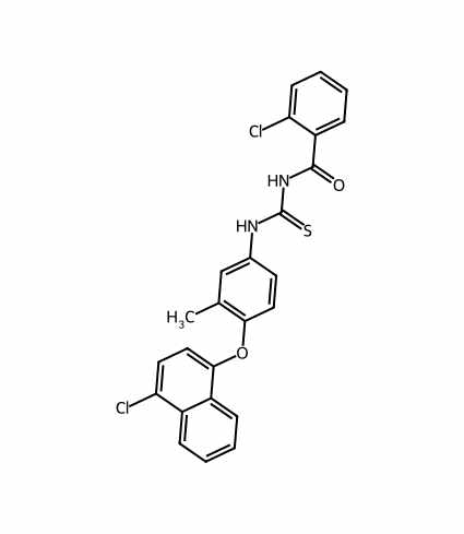 Cc1cc(NC(=S)NC(=O)c2ccccc2Cl)ccc1Oc1ccc(Cl)c2ccccc12